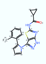 O=C(Nc1nc2[nH]nc(-n3cccc3-c3ccccc3C(F)(F)F)c2s1)C1CC1